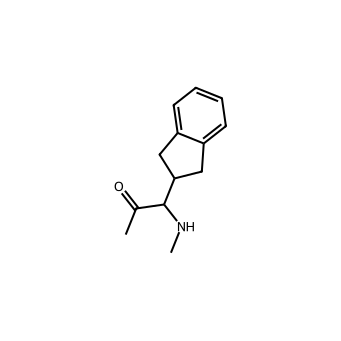 CNC(C(C)=O)C1Cc2ccccc2C1